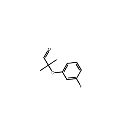 CC(C)(C=O)Oc1cccc(F)c1